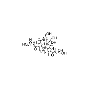 CN(C(=O)Nc1c(I)c(C(=O)NCC(O)CO)c(I)c(C(=O)NCC(O)CO)c1I)c1c(I)c(C(=O)NCC(O)CO)c(I)c(C(=O)NCC(O)CO)c1I